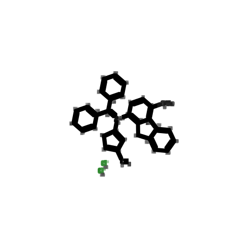 COc1cc[c]([Zr+2]([C]2=CC(C)=CC2)=[C](c2ccccc2)c2ccccc2)c2c1-c1ccccc1C2.[Cl-].[Cl-]